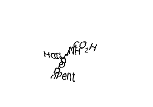 CCCCCc1ccc(COc2ccc(/C=C/CNCCC(=O)O)c(Cl)c2)cc1.Cl